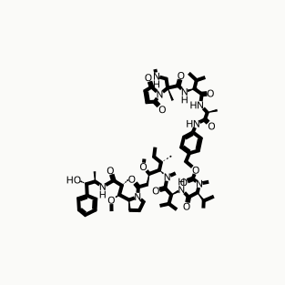 CC[C@H](C)[C@@H]([C@@H](CC(=O)N1CCC[C@H]1[C@H](OC)[C@@H](C)C(=O)N[C@H](C)[C@@H](O)c1ccccc1)OC)N(C)C(=O)[C@@H](NC(=O)[C@H](C(C)C)N(C)C(=O)OCc1ccc(NC(=O)[C@H](C)NC(=O)[C@@H](NC(=O)[C@@](C)(CNC)N2C(=O)C=CC2=O)C(C)C)cc1)C(C)C